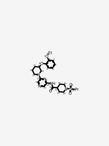 CCOc1ccccc1OC1CCCN(c2cncc(NC(=O)C3CCN(S(=O)(=O)C(C)C)CC3)n2)C1